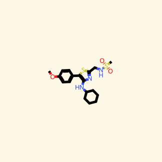 COc1ccc(-c2sc(CNS(C)(=O)=O)nc2NC2CCCCC2)cc1